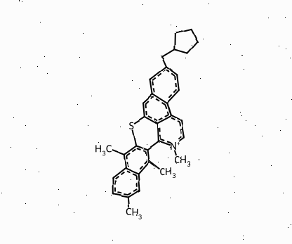 Cc1ccc2c(C)c3c(c(C)c2c1)-c1c2c(cc4cc(CC5CCCC5)ccc4c2cc[n+]1C)S3